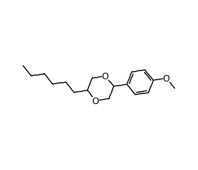 CCCCCCC1COC(c2ccc(OC)cc2)CO1